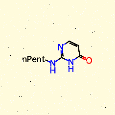 CCCCCNc1nccc(=O)[nH]1